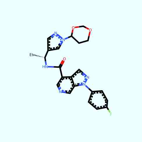 CC[C@@H](NC(=O)c1cncc2c1cnn2-c1ccc(F)cc1)c1cnn(C2CCOCO2)c1